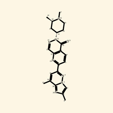 Cc1cn2nc(-c3ccc4c(=O)n([C@H]5CCN(C)[C@H](C)C5)ncc4n3)cc(C)c2n1